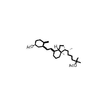 C=C1CC[C@H](OC(C)=O)C/C1=C/C=C1\CCC[C@]2(C)[C@@H]([C@H](C)CCCC(C)(C)OC(C)=O)CC[C@@H]12